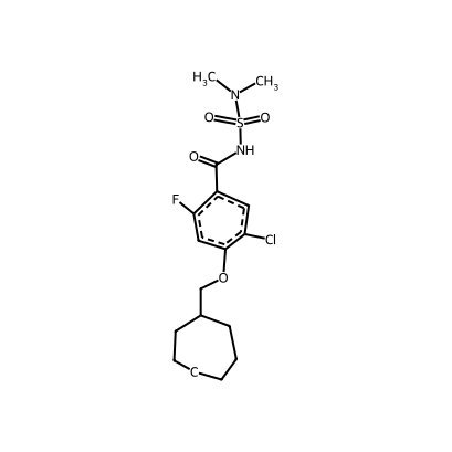 CN(C)S(=O)(=O)NC(=O)c1cc(Cl)c(OCC2CCCCCC2)cc1F